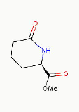 COC(=O)[C@H]1CCCC(=O)N1